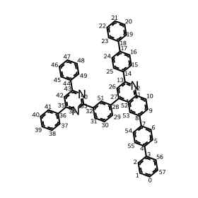 c1ccc(-c2ccc(-c3ccc4nc(-c5ccc(-c6ccccc6)cc5)cc(-c5cccc(-c6nc(-c7ccccc7)cc(-c7ccccc7)n6)c5)c4c3)cc2)cc1